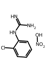 N=C(N)Nc1ccccc1Cl.O=[N+]([O-])O